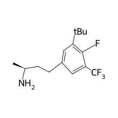 C[C@H](N)CCc1cc(C(C)(C)C)c(F)c(C(F)(F)F)c1